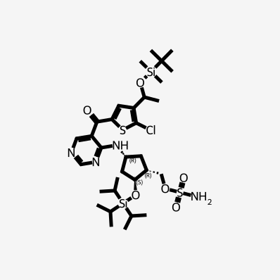 CC(O[Si](C)(C)C(C)(C)C)c1cc(C(=O)c2cncnc2N[C@@H]2C[C@H](COS(N)(=O)=O)[C@@H](O[Si](C(C)C)(C(C)C)C(C)C)C2)sc1Cl